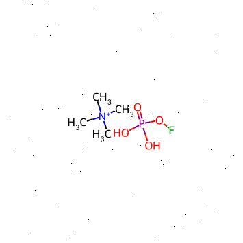 C[N+](C)(C)C.O=P(O)(O)OF